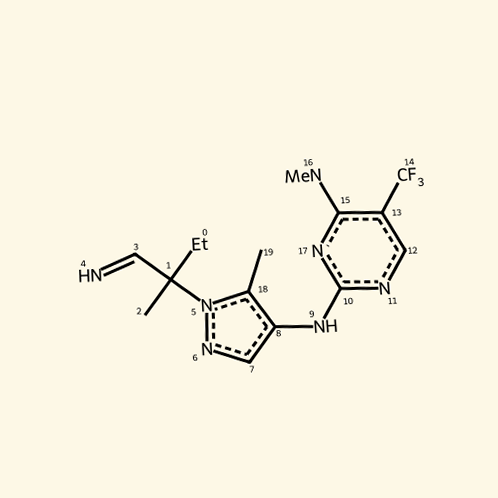 CCC(C)(C=N)n1ncc(Nc2ncc(C(F)(F)F)c(NC)n2)c1C